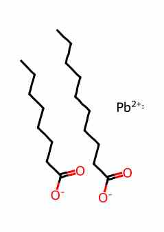 CCCCCCCC(=O)[O-].CCCCCCCCCC(=O)[O-].[Pb+2]